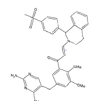 COc1cc(Cc2cnc(N)nc2N)cc(C(=O)/C=C/N2CCc3ccccc3C2c2ccc(S(C)(=O)=O)cc2)c1OC